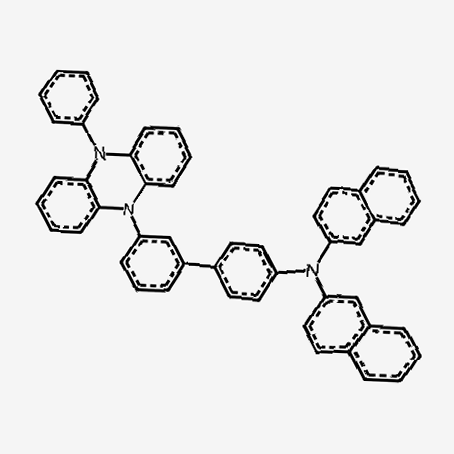 c1ccc(N2c3ccccc3N(c3cccc(-c4ccc(N(c5ccc6ccccc6c5)c5ccc6ccccc6c5)cc4)c3)c3ccccc32)cc1